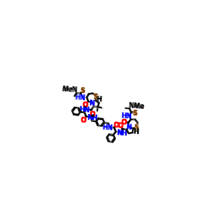 CN[C@@H](C)C(=S)N[C@H]1CCS[C@H]2CC[C@@H](C(=O)N[C@@H](C(=O)NCc3ccc(CNC(=O)[C@@H](NC(=O)[C@H]4N5C(=O)[C@H](NC(=S)[C@H](C)NC)CCS[C@H]5CC4(C)C)c4ccccc4)cc3)c3ccccc3)N2C1=O